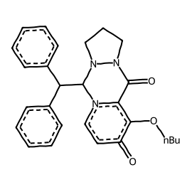 CCCCOc1c2n(ccc1=O)C(C(c1ccccc1)c1ccccc1)N1CCCN1C2=O